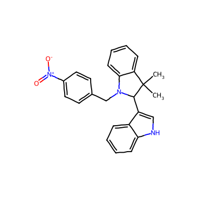 CC1(C)c2ccccc2N(Cc2ccc([N+](=O)[O-])cc2)C1c1c[nH]c2ccccc12